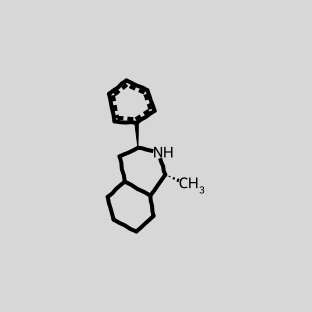 C[C@H]1N[C@H](c2ccccc2)CC2CCCCC21